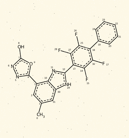 Cc1cc(-c2nnc(O)o2)c2nc(-c3c(F)c(F)c(-c4ccccc4)c(F)c3F)[nH]c2c1